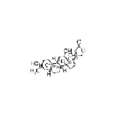 C[C@]1(O)CC[C@@]2(C)[C@H](CC[C@@H]3[C@@H]2CC(O)[C@]2(C)[C@@H](C4=CC(=O)OC4)CC[C@]32O)C1